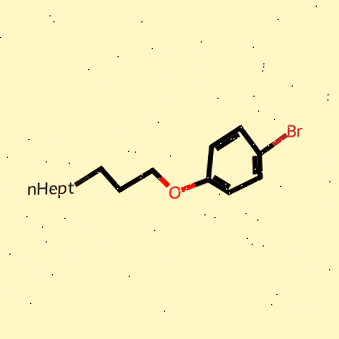 CCCCCCCCCCOc1ccc(Br)cc1